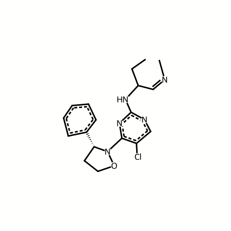 CCC(/C=N\C)Nc1ncc(Cl)c(N2OCC[C@@H]2c2ccccc2)n1